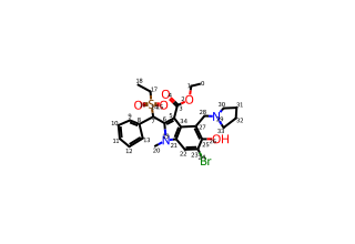 CCOC(=O)c1c(C(c2ccccc2)S(=O)(=O)CC)n(C)c2cc(Br)c(O)c(CN3CCCC3)c12